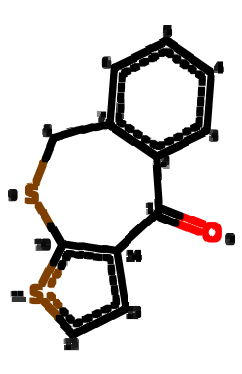 O=C1c2ccccc2CSc2sccc21